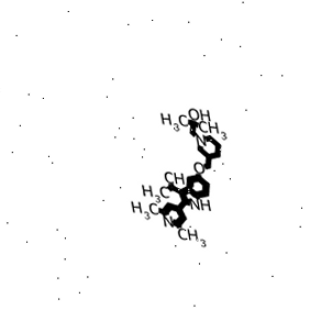 Cc1cc(-c2[nH]c3ccc(OCC4CCCN(CC(C)(C)O)C4)cc3c2C(C)C)cc(C)n1